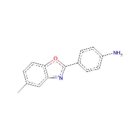 Cc1ccc2oc(-c3ccc(N)cc3)nc2c1